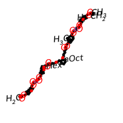 C=CC(=O)OCC1CC2C3CC(COC(=O)/C=C/C(=O)OCC4CC5C6CC(COC(=O)CCCCCCC7C(CCCCCC)CCC(CCCCCCCC)C7CCCCCCC(=O)OCC7CC8CCC(COC(=O)/C=C/C(=O)OCC9C[C@@H]%10CC9C9CC(COC(=O)C(=C)C)CC9%10)CC(C)C7C8)C(C6)C5C4)C(C3)C2C1